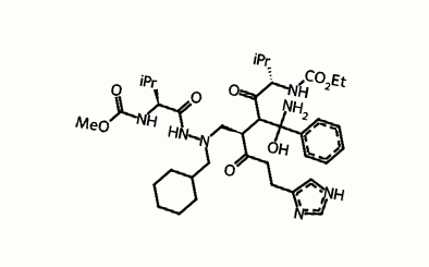 CCOC(=O)N[C@H](C(=O)C([C@H](CN(CC1CCCCC1)NC(=O)[C@@H](NC(=O)OC)C(C)C)C(=O)CCc1c[nH]cn1)C(N)(O)c1ccccc1)C(C)C